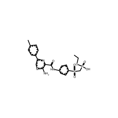 CCOP(=O)(O)CS(=O)(=O)c1ccc(NC(=O)c2nc(-c3ccc(C)cc3)cnc2N)cc1